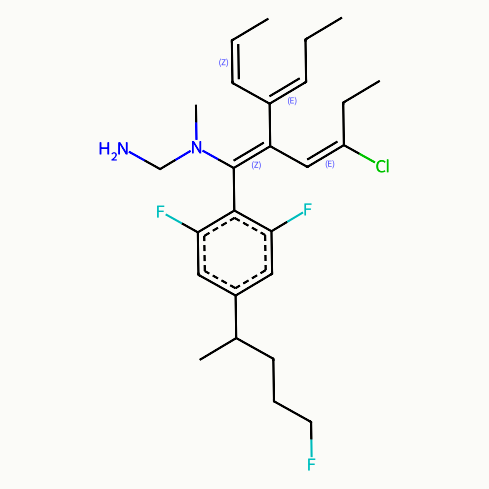 C\C=C/C(=C\CC)C(/C=C(/Cl)CC)=C(/c1c(F)cc(C(C)CCCF)cc1F)N(C)CN